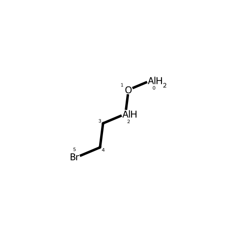 [AlH2][O][AlH][CH2]CBr